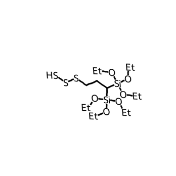 CCO[Si](OCC)(OCC)C(CCSSS)[Si](OCC)(OCC)OCC